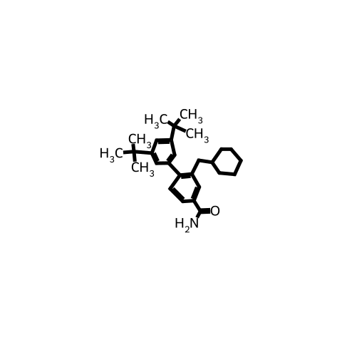 CC(C)(C)c1cc(-c2ccc(C(N)=O)cc2CC2CCCCC2)cc(C(C)(C)C)c1